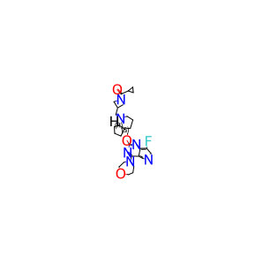 O=C(C1CC1)N1CC(CN2CCC[C@@]3(COc4nc(N5CCCOCC5)c5cncc(F)c5n4)CCC[C@@H]23)C1